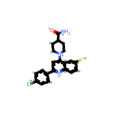 NC(=O)C1CCN(c2cc(-c3ccc(Cl)cc3)nc3ccc(F)cc23)CC1